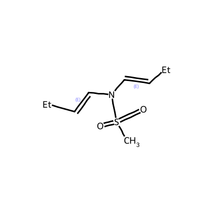 CC/C=C/N(/C=C/CC)S(C)(=O)=O